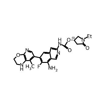 CCN1C[C@@H](OC(=O)Nc2cc3cc(-c4cnc5c(c4C)NCCO5)c(F)c(N)c3cn2)CC1=O